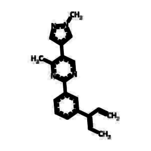 C=C/C(=C\C)c1cccc(-c2ncc(-c3cnn(C)c3)c(C)n2)c1